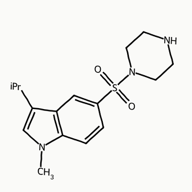 CC(C)c1cn(C)c2ccc(S(=O)(=O)N3CCNCC3)cc12